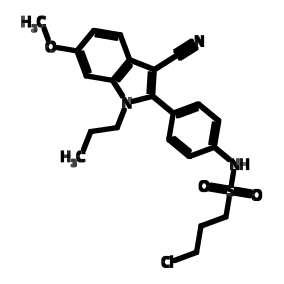 CCCn1c(-c2ccc(NS(=O)(=O)CCCCl)cc2)c(C#N)c2ccc(OC)cc21